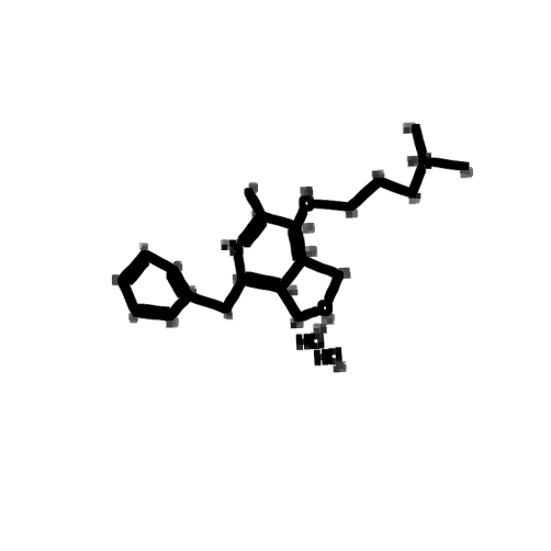 Cc1nc(Cc2ccccc2)c2c(c1OCCCN(C)C)COC2.Cl.Cl